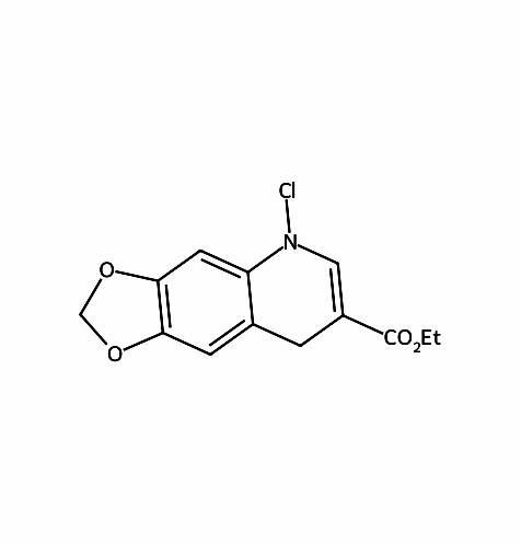 CCOC(=O)C1=CN(Cl)c2cc3c(cc2C1)OCO3